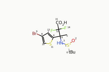 CC(C)(C)[S@@+]([O-])NC(C)(c1cc(Br)cs1)C(F)(F)C(=O)O